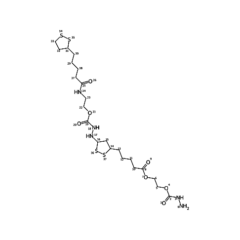 NNC(=O)OCCOC(=O)CCCCC1CC(NNC(=O)OCCNC(=O)CCCCC2CCSS2)SS1